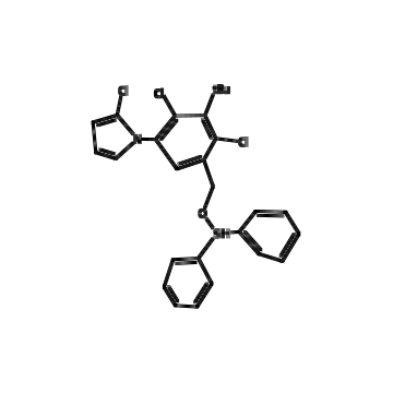 CC(C)(C)c1c(Cl)c(CO[SiH](c2ccccc2)c2ccccc2)cc(-n2cccc2Cl)c1Cl